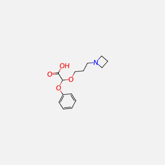 O=C(O)C(OCCCN1CCC1)Oc1ccccc1